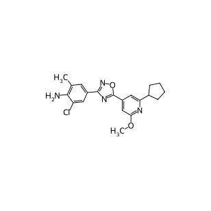 COc1cc(-c2nc(-c3cc(C)c(N)c(Cl)c3)no2)cc(C2CCCC2)n1